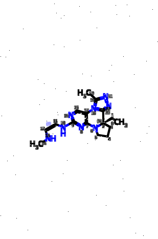 CC[C@@]12CCCN1c1nc(N/C=C\NC)ncc1-n1c(C)nnc12